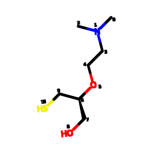 CN(C)CCO[C@@H](CO)CS